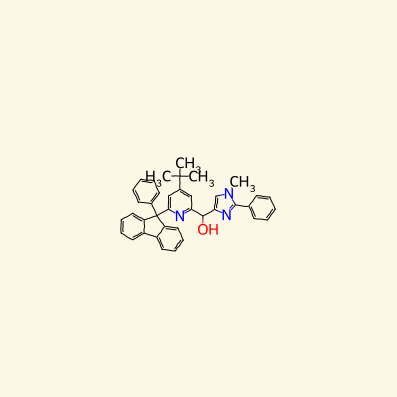 Cn1cc(C(O)c2cc(C(C)(C)C)cc(C3(c4ccccc4)c4ccccc4-c4ccccc43)n2)nc1-c1ccccc1